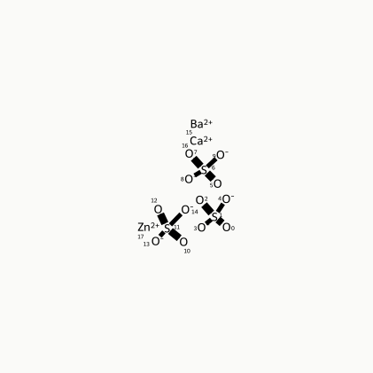 O=S(=O)([O-])[O-].O=S(=O)([O-])[O-].O=S(=O)([O-])[O-].[Ba+2].[Ca+2].[Zn+2]